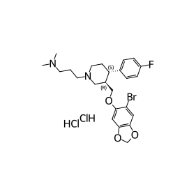 CN(C)CCCN1CC[C@H](c2ccc(F)cc2)[C@@H](COc2cc3c(cc2Br)OCO3)C1.Cl.Cl